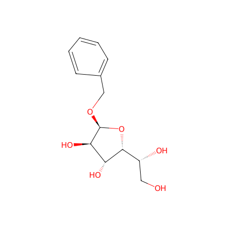 OC[C@@H](O)[C@H]1O[C@H](OCc2ccccc2)[C@H](O)[C@H]1O